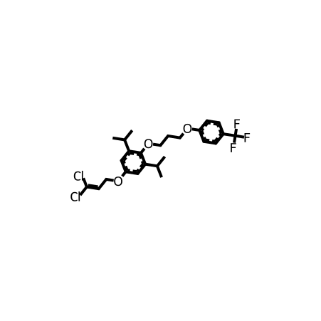 CC(C)c1cc(OCC=C(Cl)Cl)cc(C(C)C)c1OCCCOc1ccc(C(F)(F)F)cc1